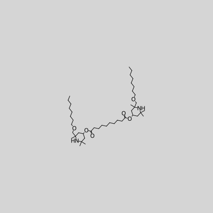 CCCCCCCCOCC1(C)CC(OC(=O)CCCCCCCCC(=O)OC2CC(C)(C)NC(C)(COCCCCCCCC)C2)CC(C)(C)N1